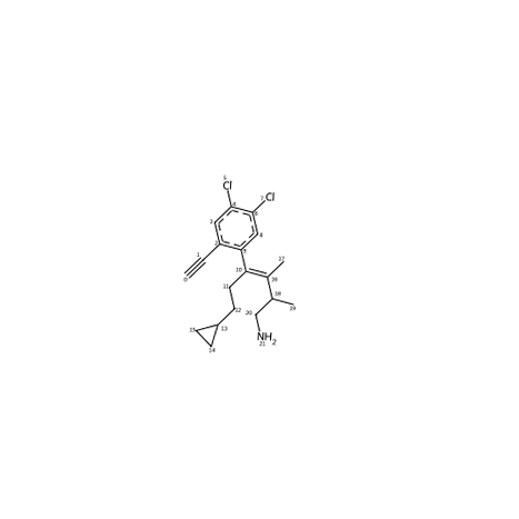 C#Cc1cc(Cl)c(Cl)cc1/C(CCC1CC1)=C(\C)C(C)CN